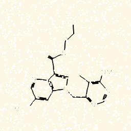 CNc1ncnc(Cn2cc(C(=O)NCCF)c3ncc(OC)cc32)c1C